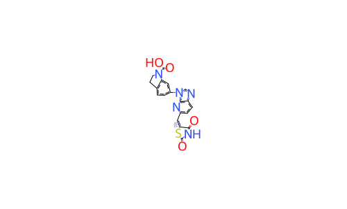 O=C1NC(=O)/C(=C\c2ccc3ncn(-c4ccc5c(c4)N(C(=O)O)CC5)c3n2)S1